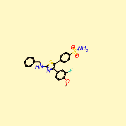 COc1ccc(-c2nc(NCc3ccccc3)sc2-c2ccc(S(N)(=O)=O)cc2)cc1F